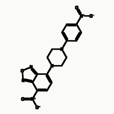 O=[N+]([O-])c1ccc(N2CCN(c3ccc([N+](=O)[O-])c4nonc34)CC2)cc1